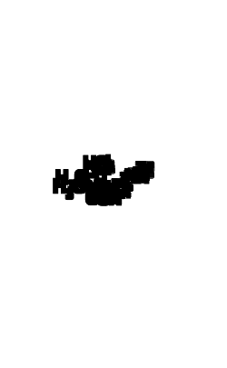 CC(C)(C)CNC(=O)c1cn2c(nc3ccc(CNCC4CCCO4)cc32)s1.Cl.Cl